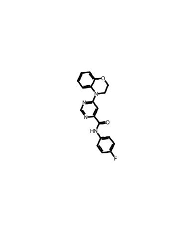 O=C(Nc1ccc(F)cc1)c1cc(N2CCOc3ccccc32)ncn1